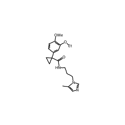 CCOc1cc(C2(C(=O)NCCCn3cncc3C)CC2)ccc1OC